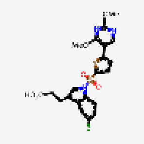 COc1ncc(-c2ccc(S(=O)(=O)n3cc(CCC(=O)O)c4cc(F)ccc43)s2)c(OC)n1